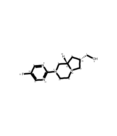 OC[C@H]1C[C@H]2CN(c3ncc(F)cn3)CCN2C1